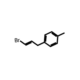 Cc1ccc(CC=CBr)cc1